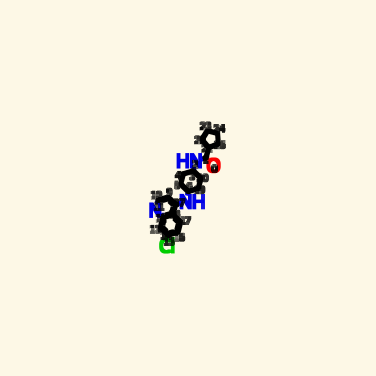 O=C(NC1CCC(Nc2ccnc3cc(Cl)ccc23)CC1)C1CCCC1